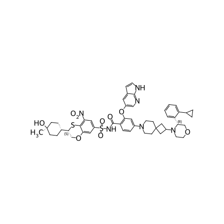 C[C@]1(O)CC[C@H]([C@H]2COc3cc(S(=O)(=O)NC(=O)c4ccc(N5CCC6(CC5)CC(N5CCOC[C@H]5c5ccccc5C5CC5)C6)cc4Oc4cnc5[nH]ccc5c4)cc([N+](=O)[O-])c3S2)CC1